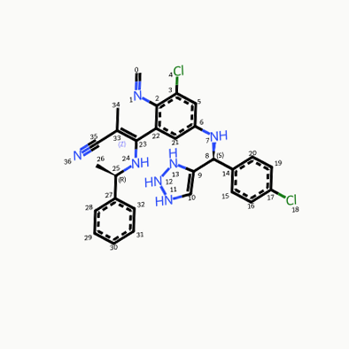 C=Nc1c(Cl)cc(N[C@H](C2=CNNN2)c2ccc(Cl)cc2)cc1/C(N[C@H](C)c1ccccc1)=C(\C)C#N